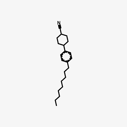 CCCCCCCCCc1ccc(C2CCC(C#N)CC2)cc1